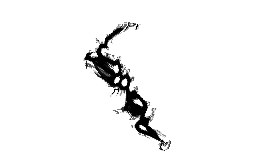 CC(C)CCC[C@@H](C)[C@H]1CCC2[C@@H]3CC[C@H]4CC(c5ccc(-c6ccc(Cl)cc6)cc5)CC[C@]4(C)C3CC[C@@]21C